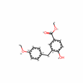 COC(=O)c1ccc(O)c(Cc2ccc(OC)cc2)c1